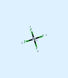 [F][Ni]([F])([F])[F]